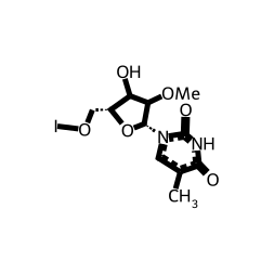 COC1C(O)[C@@H](COI)O[C@H]1n1cc(C)c(=O)[nH]c1=O